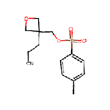 Cc1ccc(S(=O)(=O)OCC2(CCC#N)COC2)cc1